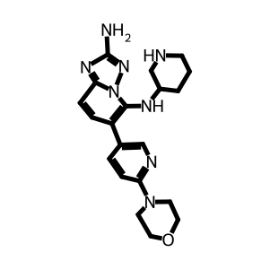 Nc1nc2ccc(-c3ccc(N4CCOCC4)nc3)c(NC3CCCNC3)n2n1